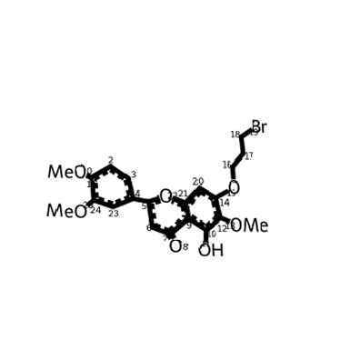 COc1ccc(-c2cc(=O)c3c(O)c(OC)c(OCCCBr)cc3o2)cc1OC